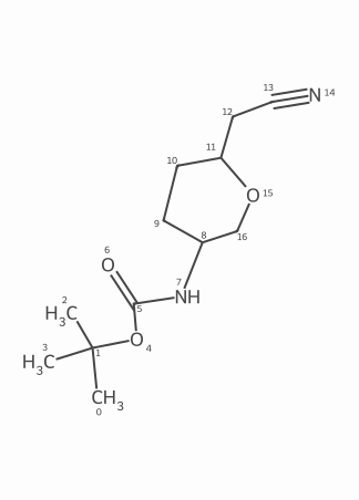 CC(C)(C)OC(=O)NC1CCC(CC#N)OC1